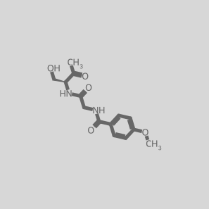 COc1ccc(C(=O)NCC(=O)N[C@@H](CO)C(C)=O)cc1